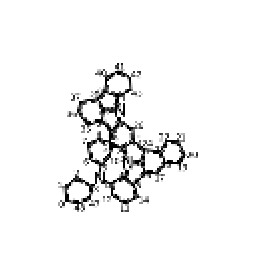 c1ccc(N(c2ccccc2)c2cccc3c4cc5ccccc5c5c6cc7c(cc6n(c23)c45)c2cccc3c4ccccc4n7c32)cc1